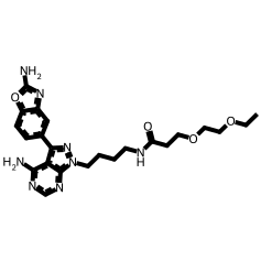 CCOCCOCCC(=O)NCCCCn1nc(-c2ccc3oc(N)nc3c2)c2c(N)ncnc21